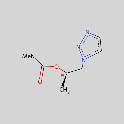 CNC(=O)O[C@H](C)Cn1ccnn1